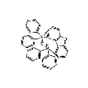 c1ccc([PH]2(c3ccccc3)O[PH](c3ccccc3)(c3ccccc3)c3ccc4oc5ccc2cc5c4c3)cc1